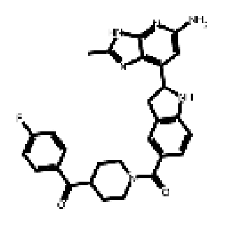 Cc1nc2c(C3Cc4cc(C(=O)N5CCC(C(=O)c6ccc(F)cc6)CC5)ccc4N3)cc(N)nc2[nH]1